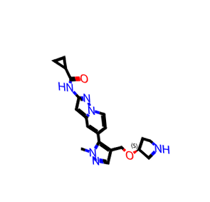 Cn1ncc(CO[C@H]2CCNC2)c1-c1ccn2nc(NC(=O)C3CC3)cc2c1